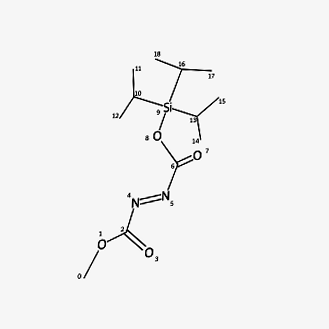 COC(=O)/N=N/C(=O)O[Si](C(C)C)(C(C)C)C(C)C